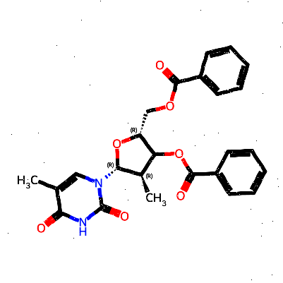 Cc1cn([C@@H]2O[C@H](COC(=O)c3ccccc3)C(OC(=O)c3ccccc3)[C@H]2C)c(=O)[nH]c1=O